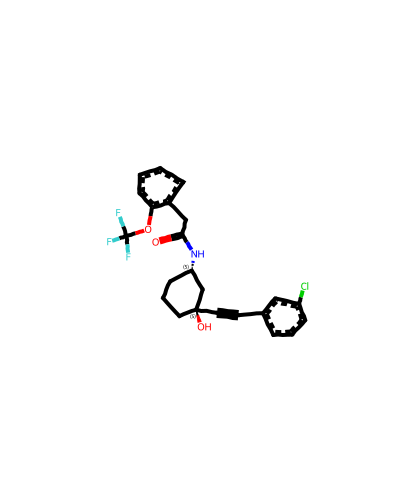 O=C(Cc1ccccc1OC(F)(F)F)N[C@H]1CCC[C@@](O)(C#Cc2cccc(Cl)c2)C1